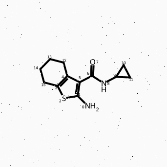 Nc1sc2c(c1C(=O)NC1CC1)CCCC2